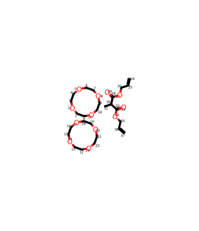 C1COCCOCCOCCO1.C1COCCOCCOCCO1.C=CCOC(=O)C(C)C(=O)OCC=C